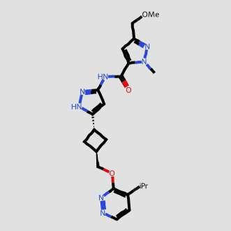 COCc1cc(C(=O)Nc2cc([C@H]3C[C@H](COc4nnccc4C(C)C)C3)[nH]n2)n(C)n1